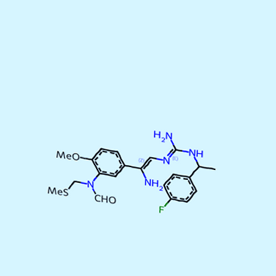 COc1ccc(/C(N)=C/N=C(\N)NC(C)c2ccc(F)cc2)cc1N(C=O)CSC